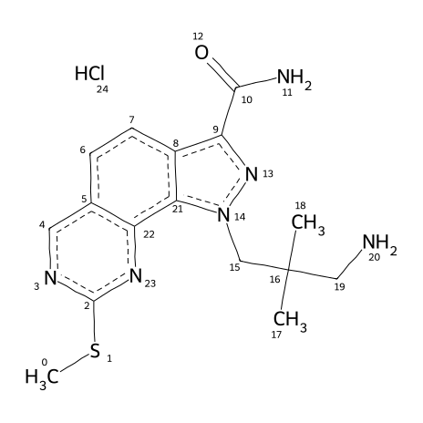 CSc1ncc2ccc3c(C(N)=O)nn(CC(C)(C)CN)c3c2n1.Cl